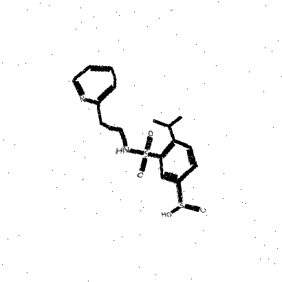 CC(C)c1ccc(S(=O)O)cc1S(=O)(=O)NCCc1ccccn1